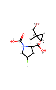 O=C(O)N1C[C@H](F)C[C@]1(CC1(CBr)CC1)C(=O)O